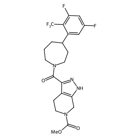 COC(=O)N1CCc2c(C(=O)N3CCCC(c4cc(F)cc(F)c4C(F)(F)F)CC3)n[nH]c2C1